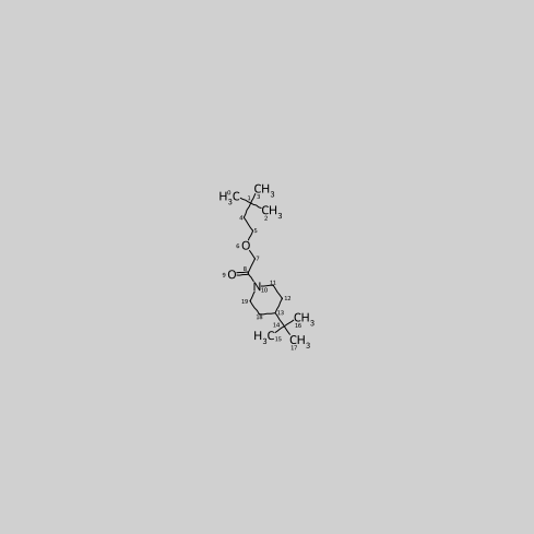 CC(C)(C)CCOCC(=O)N1CCC(C(C)(C)C)CC1